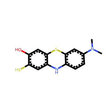 CN(C)c1ccc2c(c1)Sc1cc(O)c(S)cc1N2